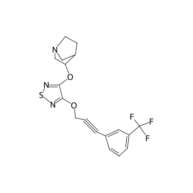 FC(F)(F)c1cccc(C#CCOc2nsnc2OC2CN3CCC2C3)c1